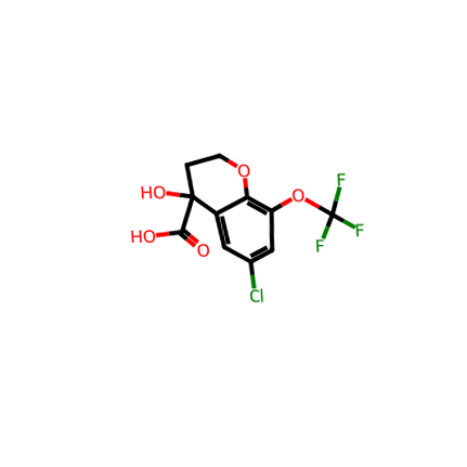 O=C(O)C1(O)CCOc2c(OC(F)(F)F)cc(Cl)cc21